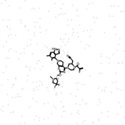 C=C(F)C(=O)N1CCN(c2nc(OC[C@@H]3CC(F)(F)CN3C)nc3c2CCN(c2c(C)c(C)cc4[nH]ncc24)C3)CC1CC#N